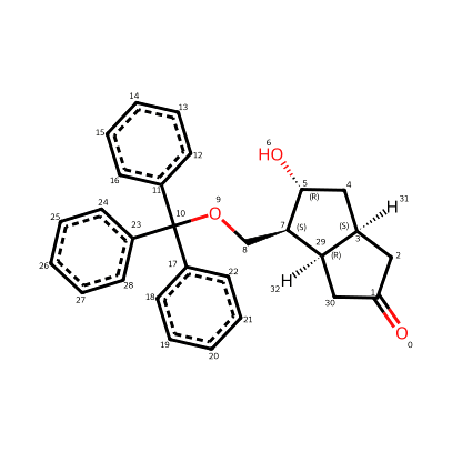 O=C1C[C@@H]2C[C@@H](O)[C@H](COC(c3ccccc3)(c3ccccc3)c3ccccc3)[C@@H]2C1